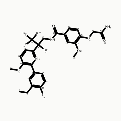 CCc1cc(-c2nc(C(O)(CNC(=O)c3ccc(OCC(N)=O)c(OC)c3)C(F)(F)F)ccc2OC)ccc1F